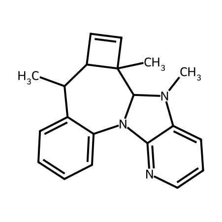 CC1c2ccccc2N2c3ncccc3N(C)C2C2(C)C=CC12